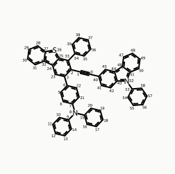 C(#Cc1c(-c2ccc(N(c3ccccc3)c3ccccc3)cc2)cc2c(sc3ccccc32)c1-c1ccccc1)c1ccc2c(c1)c1ccccc1n2-c1ccccc1